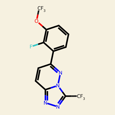 Fc1c(OC(F)(F)F)cccc1-c1ccc2nnc(C(F)(F)F)n2n1